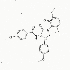 CCn1ccc(C)c(N2C[C@@H](c3ccc(OC)cc3)[C@H](NC(=O)c3ccc(Cl)cc3)C2=O)c1=O